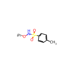 Cc1ccc(S(=O)(=O)NOC(C)C)cc1